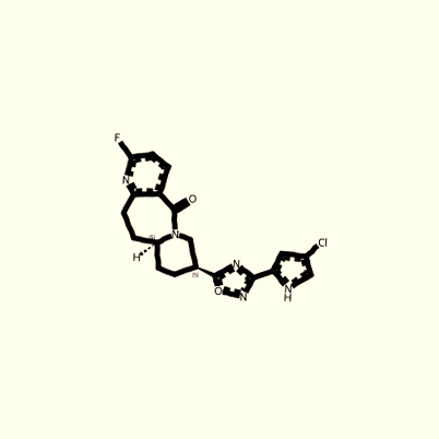 O=C1c2ccc(F)nc2CC[C@@H]2CC[C@H](c3nc(-c4cc(Cl)c[nH]4)no3)CN12